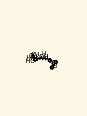 CS(=O)(=O)Nc1cc(OC[C@@H](O)CNCCc2ccc(OCP(=O)(c3ccccc3)c3ccccc3)cc2)ccc1O